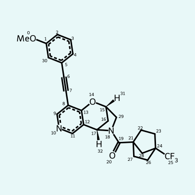 COc1cccc(C#Cc2cncc3c2O[C@H]2C[C@@H]3N(C(=O)C34CCC(C(F)(F)F)(CC3)C4)C2)c1